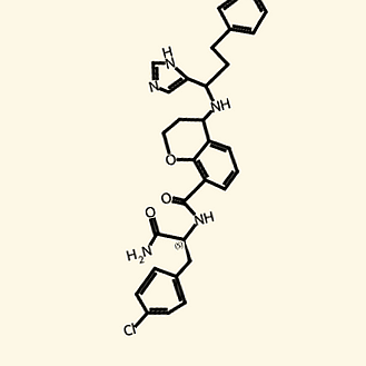 NC(=O)[C@H](Cc1ccc(Cl)cc1)NC(=O)c1cccc2c1OCCC2NC(CCc1ccccc1)c1cnc[nH]1